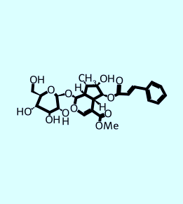 COC(=O)C1=CO[C@@H](O[C@@H]2O[C@H](CO)[C@@H](O)[C@H](O)[C@H]2O)[C@@H]2[C@H](C)[C@@H](O)[C@@H](OC(=O)/C=C/c3ccccc3)[C@H]12